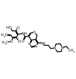 C=C/C(OC)=C(Cl)\C(NC(=O)C1=COCc2c(NCCCN3CCN(CC)CC3)ncnc21)=C(\Cl)CO